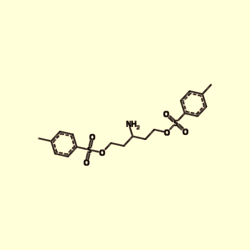 Cc1ccc(S(=O)(=O)OCCC(N)CCOS(=O)(=O)c2ccc(C)cc2)cc1